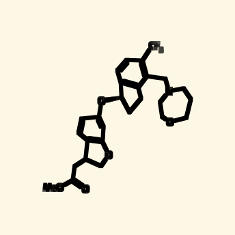 COC(=O)CC1COc2cc(O[C@@H]3CCc4c3ccc(C(F)(F)F)c4CN3CCCOCC3)ccc21